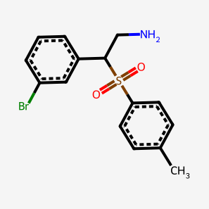 Cc1ccc(S(=O)(=O)C(CN)c2cccc(Br)c2)cc1